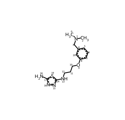 CN(C)Cc1cccc(OCCCNc2nnc(N)s2)c1